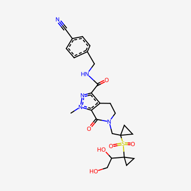 Cn1nc(C(=O)NCc2ccc(C#N)cc2)c2c1C(=O)N(CC1(S(=O)(=O)C3(C(O)CO)CC3)CC1)CC2